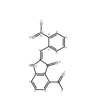 CC(=O)c1cccc2c1C(=O)C(=Cc1ccccc1[N+](=O)[O-])N2